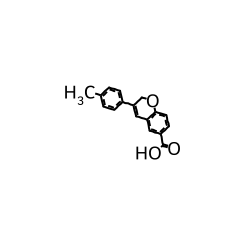 Cc1ccc(C2=Cc3cc(C(=O)O)ccc3OC2)cc1